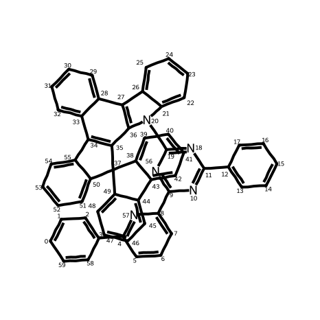 c1ccc(-c2cccc(-c3nc(-c4ccccc4)nc(-n4c5ccccc5c5c6ccccc6c6c(c54)C4(c5ccccc5-c5ccccc54)c4ccccc4-6)n3)n2)cc1